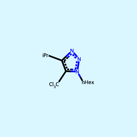 CCCCCCn1nnc(C(C)C)c1C(Cl)(Cl)Cl